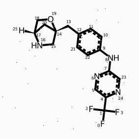 FC(F)(F)c1cnc(Nc2ccc(C[C@]34CN[C@H](CO3)C4)cc2)cn1